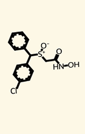 O=C(C[S+]([O-])C(c1ccccc1)c1ccc(Cl)cc1)NO